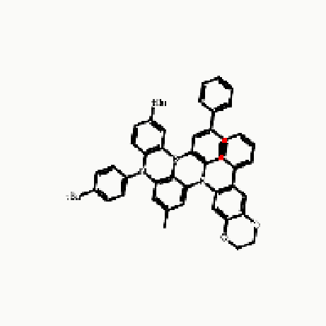 Cc1cc2c3c(c1)N(c1cc4c(cc1-c1ccccc1)OCCO4)c1ccc(-c4ccccc4)cc1B3c1cc(C(C)(C)C)ccc1N2c1ccc(C(C)(C)C)cc1